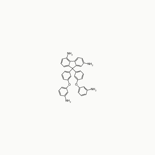 Nc1cccc(Oc2cccc(C3(c4cccc(Oc5cccc(N)c5)c4)c4cc(N)ccc4-c4c(N)cccc43)c2)c1